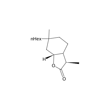 CCCCCCC1(C)CCC2[C@@H](C1)OC(=O)[C@@H]2C